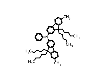 CCCCCC1(CCCCC)c2cc(C)ccc2-c2ccc(N(c3ccccc3)c3ccc4c(c3)C(CCCCC)(CCCCC)c3cc(C)ccc3-4)cc21